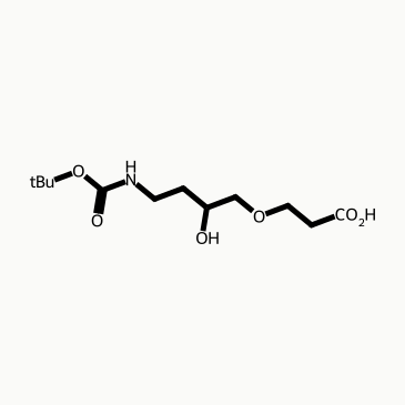 CC(C)(C)OC(=O)NCCC(O)COCCC(=O)O